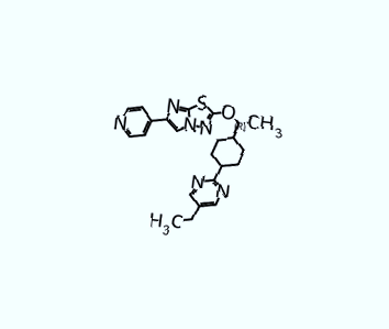 CCc1cnc(C2CCC([C@@H](C)Oc3nn4cc(-c5ccncc5)nc4s3)CC2)nc1